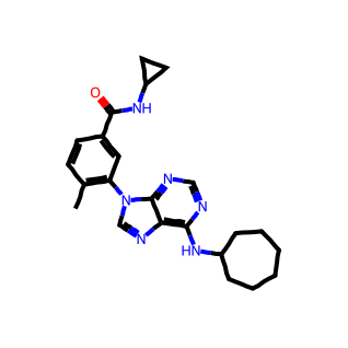 Cc1ccc(C(=O)NC2CC2)cc1-n1cnc2c(NC3CCCCCC3)ncnc21